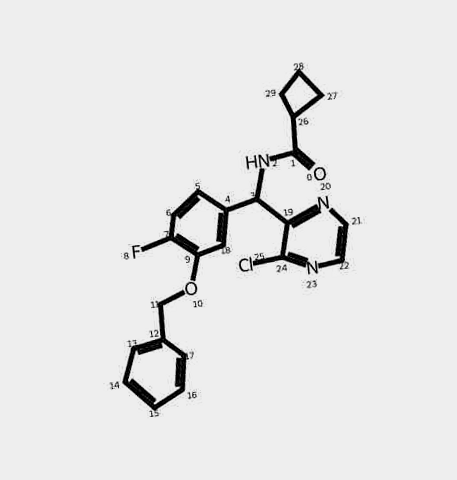 O=C(NC(c1ccc(F)c(OCc2ccccc2)c1)c1nccnc1Cl)C1CCC1